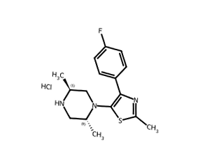 Cc1nc(-c2ccc(F)cc2)c(N2C[C@H](C)NC[C@H]2C)s1.Cl